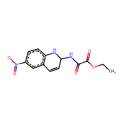 CCOC(=O)C(=O)NC1C=Cc2cc([N+](=O)[O-])ccc2N1